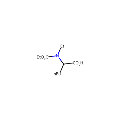 CCCCC(C(=O)O)N(CC)C(=O)OCC